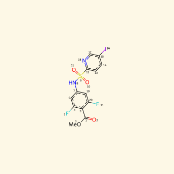 COC(=O)c1c(F)cc(NS(=O)(=O)c2ccc(I)cn2)cc1F